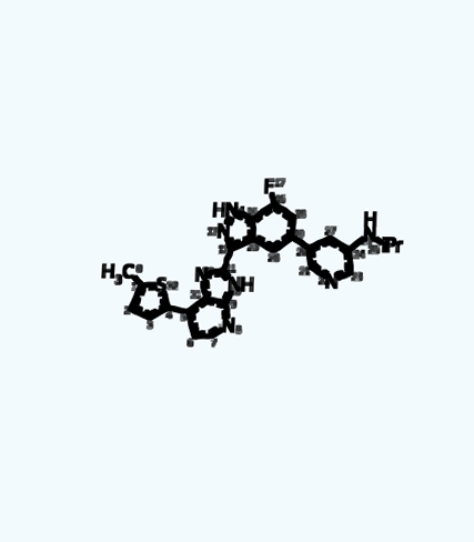 Cc1ccc(-c2ccnc3[nH]c(-c4n[nH]c5c(F)cc(-c6cncc(NC(C)C)c6)cc45)nc23)s1